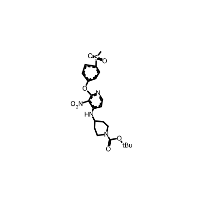 CC(C)(C)OC(=O)N1CCC(Nc2ccnc(Oc3ccc(S(C)(=O)=O)cc3)c2[N+](=O)[O-])CC1